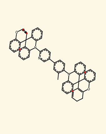 Cc1cc(-c2ccc(N3c4ccccc4C4(c5ccccc5Oc5ccccc54)c4ccccc43)nc2)ccc1N1c2ccccc2C2(C3=C(CCC=C3)Oc3ccccc32)c2ccccc21